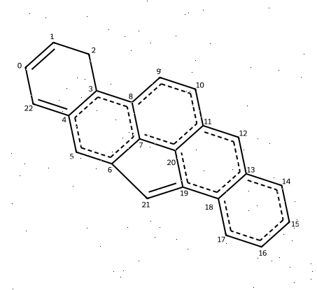 C1=CCc2c(cc3c4c2ccc2cc5ccccc5c(c24)=C3)=C1